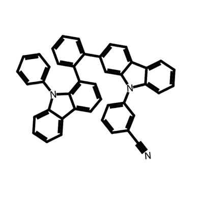 N#Cc1cccc(-n2c3ccccc3c3ccc(-c4ccccc4-c4cccc5c6ccccc6n(-c6ccccc6)c45)cc32)c1